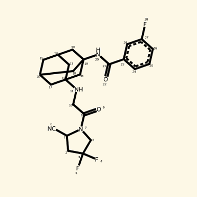 N#CC1CC(F)(F)CN1C(=O)CNC12CC3CC(C1)CC(NC(=O)c1cccc(F)c1)(C3)C2